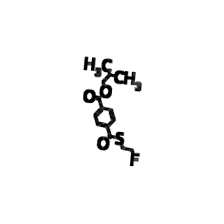 CC(C)COC(=O)c1ccc(C(=O)SCCF)cc1